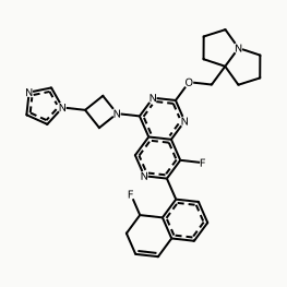 Fc1c(-c2cccc3c2C(F)CC=C3)ncc2c(N3CC(n4ccnc4)C3)nc(OCC34CCCN3CCC4)nc12